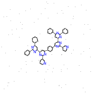 c1ccc(-c2cc(-c3cc(-c4ccc(-c5cc(-c6cc(-c7ccccc7)nc(-c7ccccc7)n6)nc(-c6cccnc6)n5)cc4)nc(-c4cccnc4)n3)nc(-c3ccccc3)n2)cc1